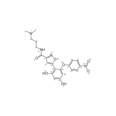 CN(C)CCCNC(=O)c1cc(-c2c(O)cc(O)cc2Oc2ccc([N+](=O)[O-])cc2)on1